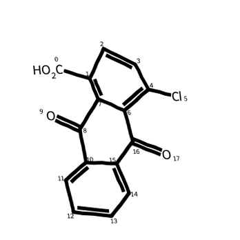 O=C(O)c1ccc(Cl)c2c1C(=O)c1ccccc1C2=O